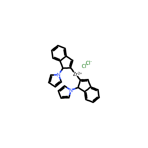 C1=[C]([Zr+2][C]2=Cc3ccccc3C2n2cccc2)C(n2cccc2)c2ccccc21.[Cl-].[Cl-]